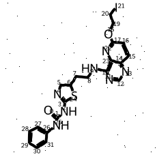 O=C(NC1=NCC(CCNc2ncnc3ccc(OCCI)nc23)S1)Nc1ccccc1